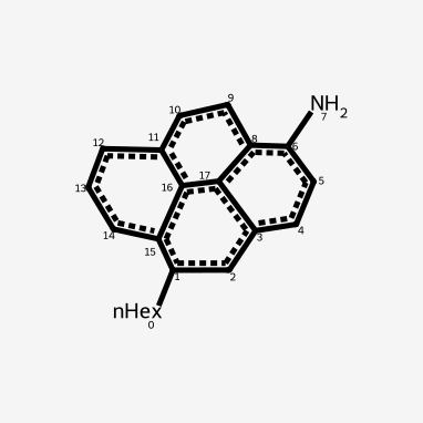 CCCCCCc1cc2ccc(N)c3ccc4cccc1c4c23